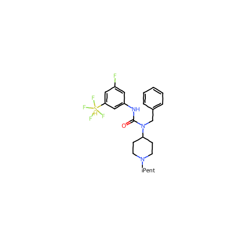 CCCC(C)N1CCC(N(Cc2ccccc2)C(=O)Nc2cc(F)cc([SH](F)(F)(F)F)c2)CC1